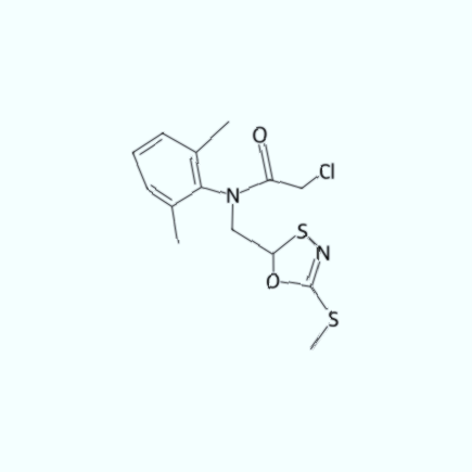 CSC1=NSC(CN(C(=O)CCl)c2c(C)cccc2C)O1